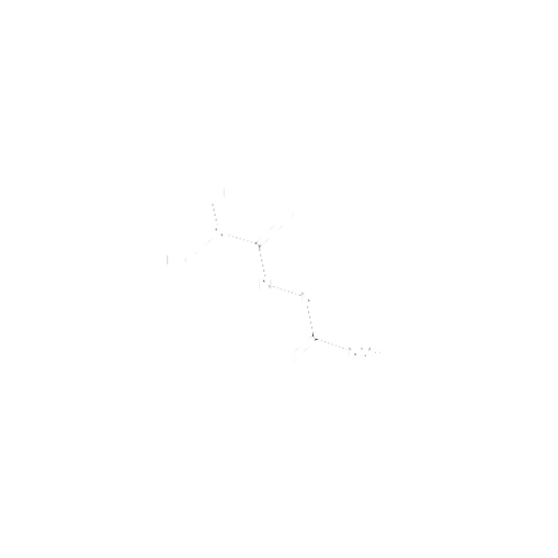 CNC(=O)NNC(=O)N(C)C